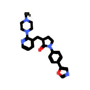 CN1CCN(c2ncccc2CC2CCN(c3ccc(-c4cnco4)cc3)C2=O)CC1